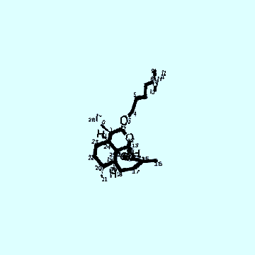 C[C@H]1[C@H](OCCCC[N+](C)(C)C)O[C@@H]2OC3(C)CC[C@H]4[C@H](C)CC[C@@H]1[C@]24OO3.[I-]